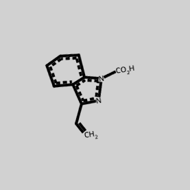 C=Cc1nn(C(=O)O)c2ccccc12